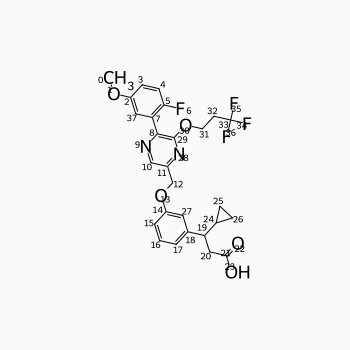 COc1ccc(F)c(-c2ncc(COc3cccc(C(CC(=O)O)C4CC4)c3)nc2OCCC(F)(F)F)c1